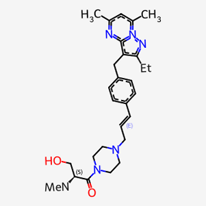 CCc1nn2c(C)cc(C)nc2c1Cc1ccc(/C=C/CN2CCN(C(=O)[C@H](CO)NC)CC2)cc1